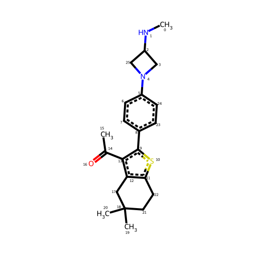 CNC1CN(c2ccc(-c3sc4c(c3C(C)=O)CC(C)(C)CC4)cc2)C1